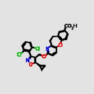 O=C(O)c1ccc2c(c1)CCc1nc(OCc3c(-c4c(Cl)cccc4Cl)noc3C3CC3)ccc1O2